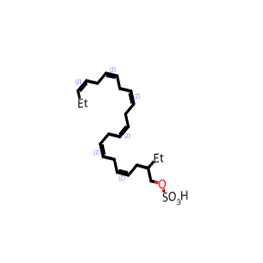 CC/C=C\C/C=C\C/C=C\C/C=C\C/C=C\C/C=C\CC(CC)COS(=O)(=O)O